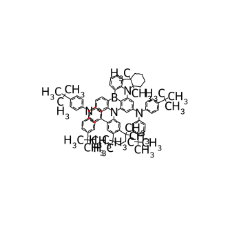 CC(C)(C)c1ccc(N(c2ccc(C(C)(C)C)cc2)c2ccc3c(c2)N(c2cc4c(cc2-c2ccccc2)C(C)(C)CCC4(C)C)c2cc(N(c4ccc(C(C)(C)C)cc4)c4ccc(C(C)(C)C)cc4)cc4c2B3c2cccc3c2N4C2(C)CCCCC32C)cc1